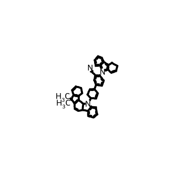 CC1(C)C2=C(CCC=C2)C2=C1C=CC1c3ccccc3N(C3C=CC(c4ccc(-n5c6c(c7ccccc75)CCC=C6)c(C#N)c4)=CC3)C21